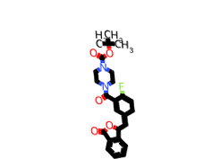 CC(C)(C)OC(=O)N1CCN(C(=O)C2=CC(=CC3OC(=O)c4ccccc43)CC=C2F)CC1